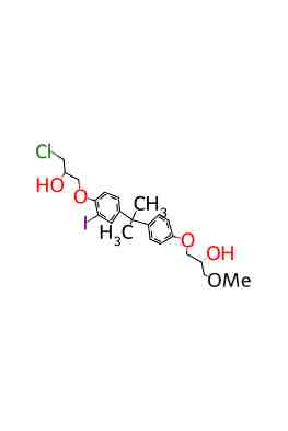 COC[C@@H](O)COc1ccc(C(C)(C)c2ccc(OCC(O)CCl)c(I)c2)cc1